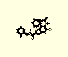 C=C1Nc2c(Cl)cc3cc(C(=O)NCc4ccccc4F)oc3c2C2(CCCCC2)N1